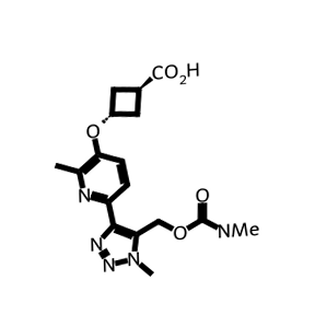 CNC(=O)OCc1c(-c2ccc(O[C@H]3C[C@H](C(=O)O)C3)c(C)n2)nnn1C